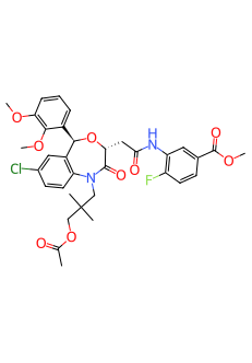 COC(=O)c1ccc(F)c(NC(=O)C[C@H]2O[C@H](c3cccc(OC)c3OC)c3cc(Cl)ccc3N(CC(C)(C)COC(C)=O)C2=O)c1